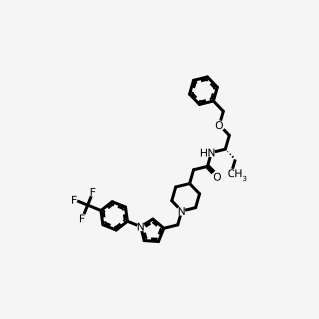 CC[C@@H](COCc1ccccc1)NC(=O)CC1CCN(Cc2ccn(-c3ccc(C(F)(F)F)cc3)c2)CC1